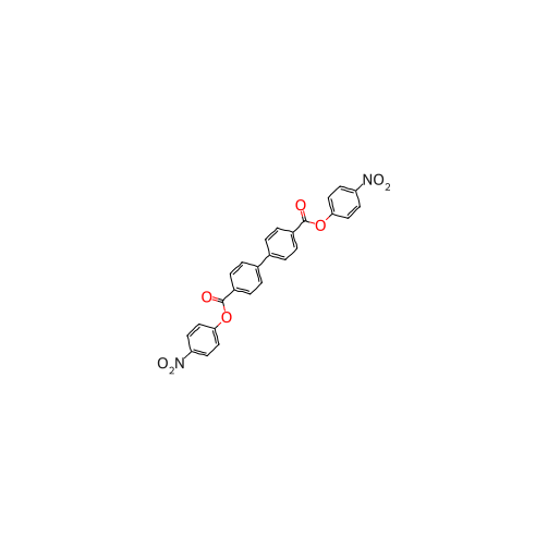 O=C(Oc1ccc([N+](=O)[O-])cc1)c1ccc(-c2ccc(C(=O)Oc3ccc([N+](=O)[O-])cc3)cc2)cc1